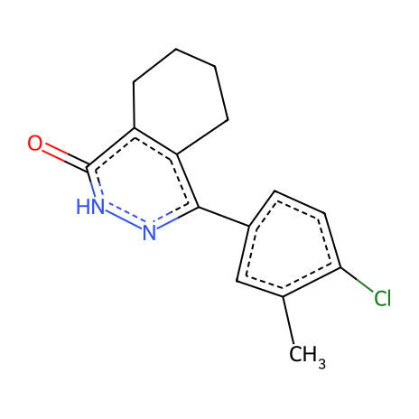 Cc1cc(-c2n[nH]c(=O)c3c2CCCC3)ccc1Cl